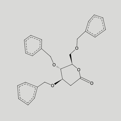 O=C1C[C@@H](OCc2ccccc2)[C@H](OCc2ccccc2)[C@@H](COCc2ccccc2)O1